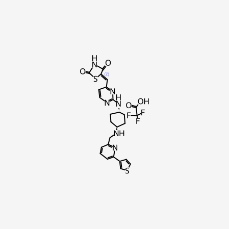 O=C(O)C(F)(F)F.O=C1NC(=O)/C(=C/c2ccnc(N[C@H]3CC[C@H](NCc4cccc(-c5ccsc5)n4)CC3)n2)S1